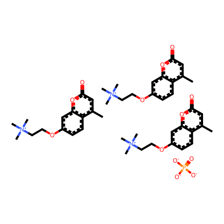 Cc1cc(=O)oc2cc(OCC[N+](C)(C)C)ccc12.Cc1cc(=O)oc2cc(OCC[N+](C)(C)C)ccc12.Cc1cc(=O)oc2cc(OCC[N+](C)(C)C)ccc12.O=P([O-])([O-])[O-]